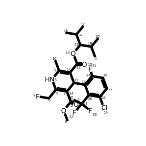 COC(=O)C1=C(CF)NC(C)=C(C(=O)OC(C(C)C)C(C)C)C1c1c(F)ccc(Cl)c1C(F)(F)F